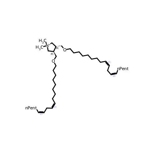 CCCCC/C=C\C/C=C\CCCCCCCCOC[C@H]1C[N+](C)(C)C[C@@H]1COCCCCCCCC/C=C\C/C=C\CCCCC